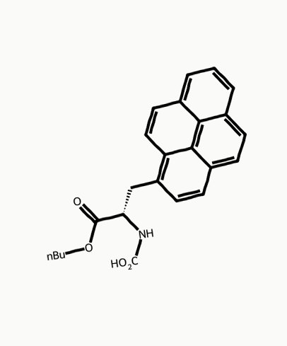 CCCCOC(=O)[C@H](Cc1ccc2ccc3cccc4ccc1c2c34)NC(=O)O